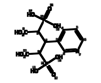 O=C(O)C(C(c1cccnc1)C(C(=O)O)P(=O)(O)O)P(=O)(O)O